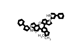 CC1(C)C=Cc2cc3c(cc21)-c1ccc2c(ccn2[C@@]2(N)C=CC(c4ccccc4)C2)c1Oc1ccc2c(c1-3)CCN2C1C=C(c2ccccc2)C=CN1